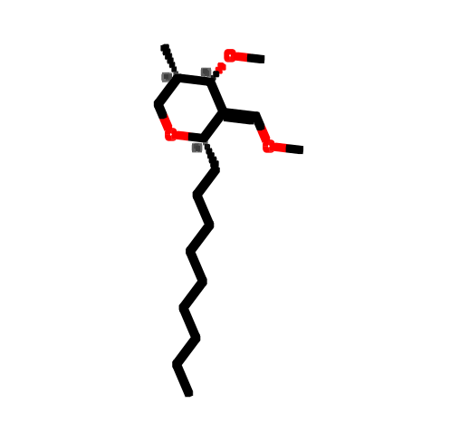 CCCCCCCCC[C@@H]1OC[C@H](C)[C@H](OC)C1=COC